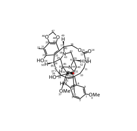 COc1ccc2[nH]c3c(c2c1)CCNC(=O)OC[C@H]1c2c4c(c(C)c(O)c2[C@@H](SC3)C2[C@H]3c5c(cc(C)c(OC)c5O)C[C@@H](CN21)N3C)OCO4